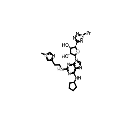 CC(C)n1nnc([C@H]2O[C@@H](n3cnc4c(NC5CCCC5)nc(NCCc5cn(C)cn5)nc43)[C@H](O)[C@H]2O)n1